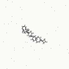 O=S(=O)(c1ccccc1Cl)N1CCN(c2ccc3c(c2)CCN(C2CCC2)CC3)CC1